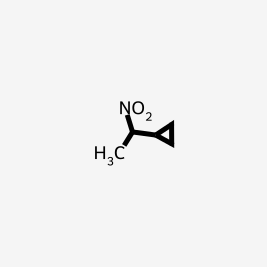 CC(C1CC1)[N+](=O)[O-]